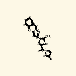 Cc1ccn(C(C)C2=NN(c3ccn(Cc4ccccc4Cl)n3)C(N)S2)n1